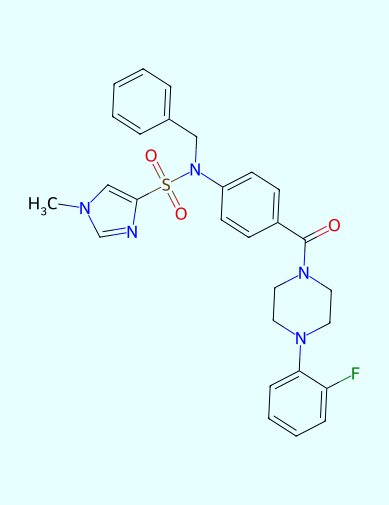 Cn1cnc(S(=O)(=O)N(Cc2ccccc2)c2ccc(C(=O)N3CCN(c4ccccc4F)CC3)cc2)c1